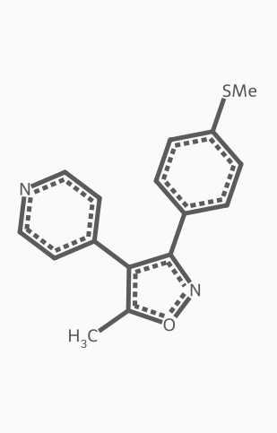 CSc1ccc(-c2noc(C)c2-c2ccncc2)cc1